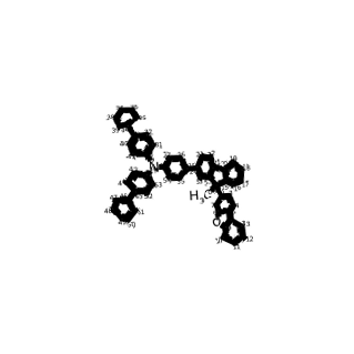 CC1(c2ccc3c(c2)oc2ccccc23)c2ccccc2-c2ccc(-c3ccc(N(c4ccc(-c5ccccc5)cc4)c4ccc(-c5ccccc5)cc4)cc3)cc21